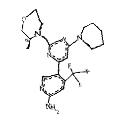 C[C@H]1COCCN1c1nc(-c2cnc(N)cc2C(F)(F)F)cc(N2CCCCC2)n1